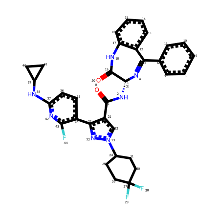 O=C(N[C@H]1N=C(c2ccccc2)c2ccccc2NC1=O)c1cn(C2CCC(F)(F)CC2)nc1-c1ccc(NC2CC2)nc1F